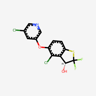 O[C@@H]1c2c(ccc(Oc3cncc(Cl)c3)c2Cl)SC1(F)F